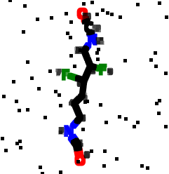 O=C=NCCCC(F)C(F)CN=C=O